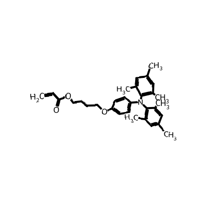 C=CC(=O)OCCCCOc1ccc(N(c2c(C)cc(C)cc2C)c2c(C)cc(C)cc2C)cc1